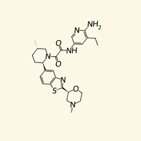 CCc1cc(NC(=O)C(=O)N2C[C@@H](C)CC[C@@H]2c2ccc3sc([C@@H]4CN(C)CCO4)nc3c2)cnc1N